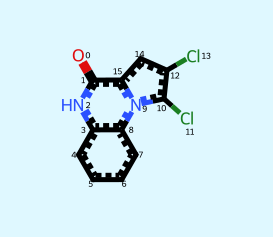 O=c1[nH]c2ccccc2n2c(Cl)c(Cl)cc12